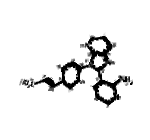 Nc1ncccc1-c1nc2cccnc2n1-c1ccc(/C=C/C(=O)O)cc1